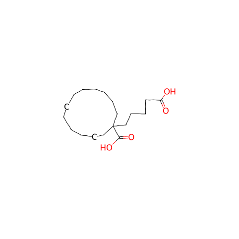 O=C(O)CCCCC1(C(=O)O)CCCCCCCCCCCC1